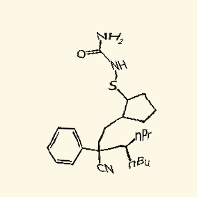 CCCCC(CCC)C(C#N)(CC1CCCC1SNC(N)=O)c1ccccc1